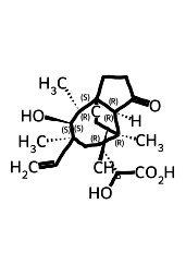 C=C[C@]1(C)C[C@@H](C(O)C(=O)O)[C@@]2(C)[C@H](C)CC[C@]3(CCC(=O)[C@H]32)[C@@H](C)[C@@H]1O